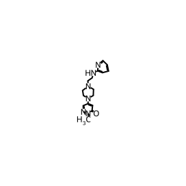 Cn1ncc(N2CCN(CCNc3ccccn3)CC2)cc1=O